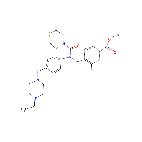 CCN1CCN(Cc2ccc(N(Cc3ccc(C(=O)OC)cc3F)C(=O)N3CCSCC3)cc2)CC1